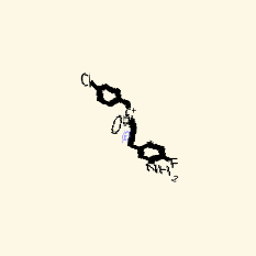 Nc1cc(/C=C/[S+]([O-])Cc2ccc(Cl)cc2)ccc1F